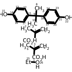 C=C(C)C(=O)O.C=C(C)C(=O)O.CC(C)(c1ccc(O)cc1)c1ccc(O)cc1.CCO